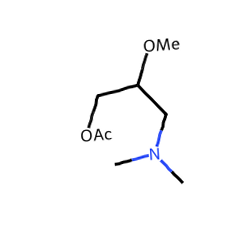 COC(COC(C)=O)CN(C)C